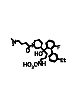 CCc1cccc(-c2c(F)cccc2[C@](O)(CCCNC(=O)O)[C@@H]2CCCN(C(=O)CCCN(C)C)C2)c1